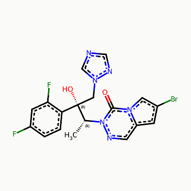 C[C@@H](n1ncc2cc(Br)cn2c1=O)[C@](O)(Cn1cncn1)c1ccc(F)cc1F